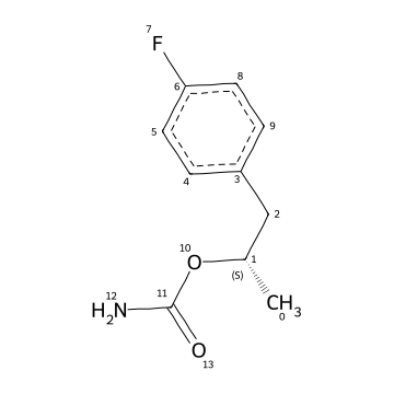 C[C@@H](Cc1ccc(F)cc1)OC(N)=O